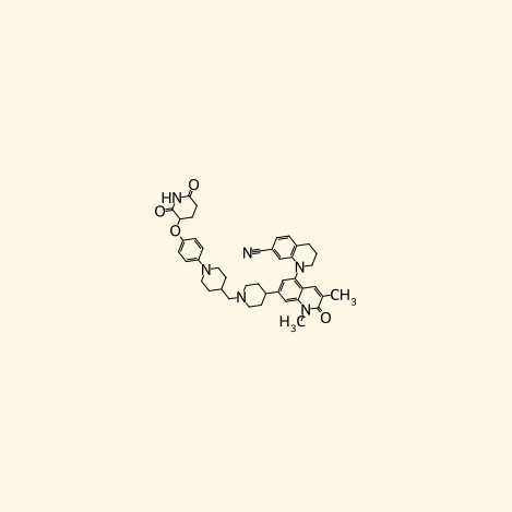 Cc1cc2c(N3CCCc4ccc(C#N)cc43)cc(C3CCN(CC4CCN(c5ccc(OC6CCC(=O)NC6=O)cc5)CC4)CC3)cc2n(C)c1=O